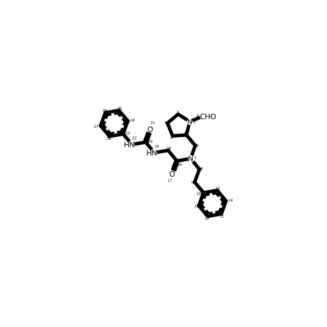 O=CN1CCCC1CN(CCc1ccccc1)C(=O)CNC(=O)Nc1ccccc1